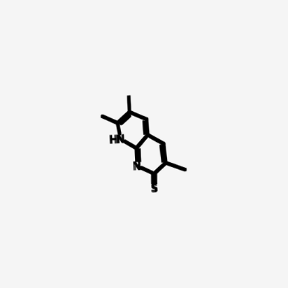 Cc1cc2cc(C)c(=S)nc-2[nH]c1C